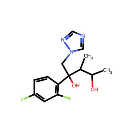 CC(O)C(C)C(O)(Cn1cncn1)c1ccc(F)cc1F